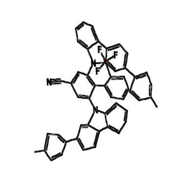 Cc1ccc(-c2ccc3c4ccccc4n(-c4cc(C#N)cc(-n5c6ccccc6c6ccc(-c7ccc(C)cc7)cc65)c4-c4ccccc4C(F)(F)F)c3c2)cc1